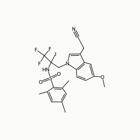 COc1ccc2c(c1)c(CC#N)cn2CC(I)(NS(=O)(=O)c1c(C)cc(C)cc1C)C(F)(F)F